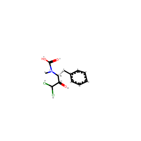 CN(C(=O)O)[C@H](Cc1ccccc1)C(=O)C(Cl)Cl